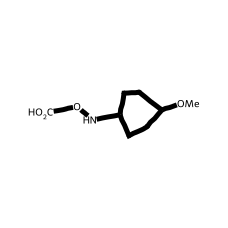 COC1CCC(NOC(=O)O)CC1